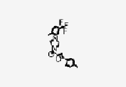 Cc1ccc([C@@H]2C[C@H](C(=O)N3CCN(c4cc(C(F)(F)F)ccc4C)CC3)O2)cc1